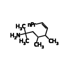 CCC/C=C\C(C)C(C)CC(C)(C)N